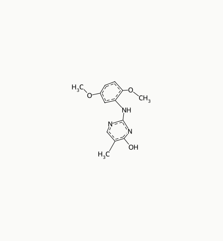 COc1ccc(OC)c(Nc2ncc(C)c(O)n2)c1